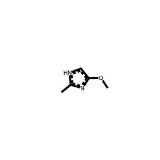 COc1[c][nH]c(C)n1